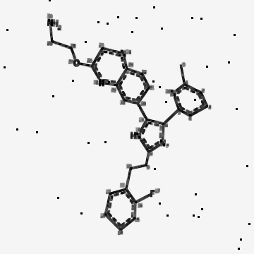 Cc1cccc(-c2nc(CCc3ccccc3F)[nH]c2-c2ccc3ncc(OCCN)nc3c2)n1